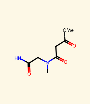 COC(=O)CC(=O)N(C)CC([NH])=O